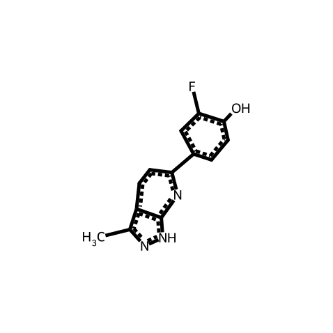 Cc1n[nH]c2nc(-c3ccc(O)c(F)c3)ccc12